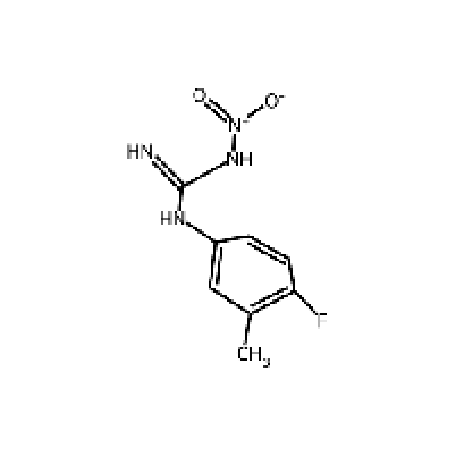 Cc1cc(NC(=N)N[N+](=O)[O-])ccc1F